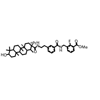 CCCC1(C(=O)NCCc2cccc(C(=O)NCc3cccc(C(=O)OC)c3F)c2)CC[C@]2(C)C(CCC3C4(C)CCC(O)C(C)(C)C4CCC32C)C1C